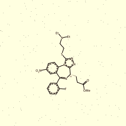 CCN(CC)CCSc1nnc2n1-c1ccc([N+](=O)[O-])cc1C(c1ccccc1F)=N[C@H]2CCC(=O)OC